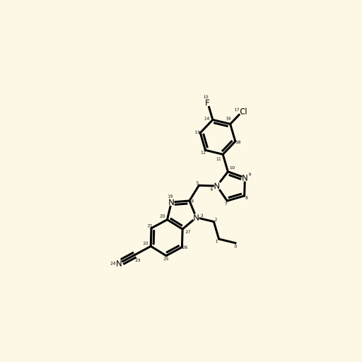 CCCn1c(Cn2ccnc2-c2ccc(F)c(Cl)c2)nc2cc(C#N)ccc21